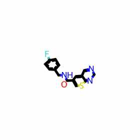 O=C(NCc1ccc(F)cc1)C1=CSC2=NCN=CC2=C1